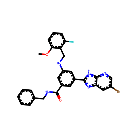 COc1cccc(F)c1CNc1cc(C(=O)NCc2ccccc2)cc(-c2nc3cc(Br)cnc3[nH]2)c1